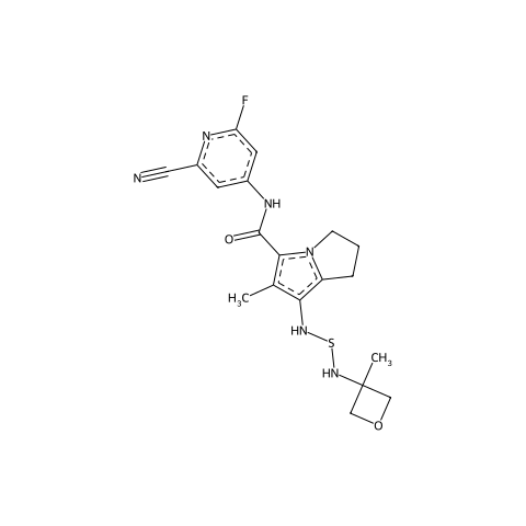 Cc1c(NSNC2(C)COC2)c2n(c1C(=O)Nc1cc(F)nc(C#N)c1)CCC2